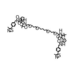 Cc1ncsc1-c1ccc(CNC(=O)[C@@H]2CCCN2C(=O)C(NC(=O)COCCCOCCCCCOCCCOCC(=O)N[C@H](C(=O)N2CCC[C@H]2C(=O)NCc2ccc(-c3scnc3C)cc2)C(C)(C)C)C(C)(C)C)cc1